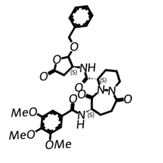 COc1cc(C(=O)N[C@H]2CCC(=O)N3CCC[C@@H](C(=O)N[C@H]4CC(=O)OC4OCc4ccccc4)N3C2=O)cc(OC)c1OC